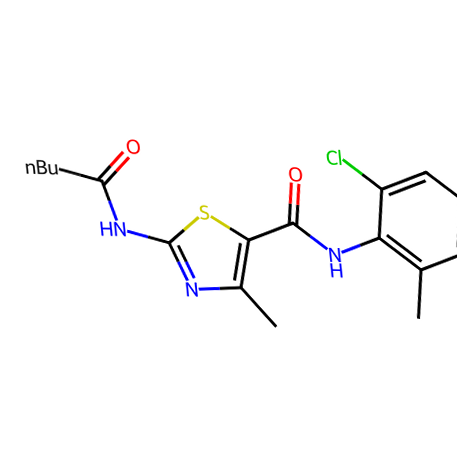 CCCCC(=O)Nc1nc(C)c(C(=O)Nc2c(C)cccc2Cl)s1